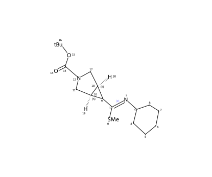 CS/C(=N\C1CCCCC1)C1[C@H]2CN(C(=O)OC(C)(C)C)C[C@@H]12